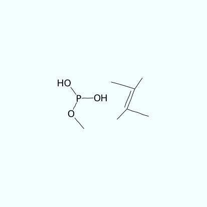 CC(C)=C(C)C.COP(O)O